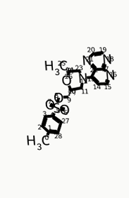 Cc1ccc(S(=O)(=O)OC[C@H]2CN(c3ccnc4nccnc34)C[C@@H](C)O2)cc1